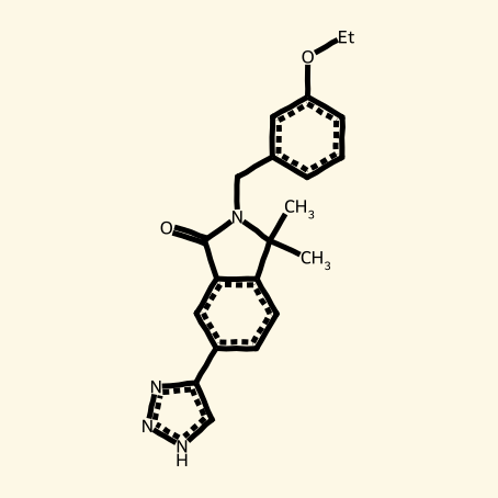 CCOc1cccc(CN2C(=O)c3cc(-c4c[nH]nn4)ccc3C2(C)C)c1